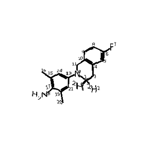 [2H]C1([2H])Cc2cc(F)ccc2CN1c1cc(C)c(N)c(C)c1